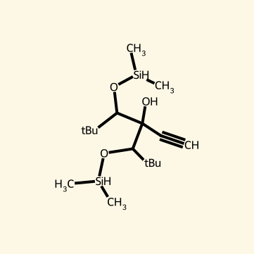 C#CC(O)(C(O[SiH](C)C)C(C)(C)C)C(O[SiH](C)C)C(C)(C)C